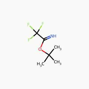 CC(C)(C)OC(=N)C(F)(F)F